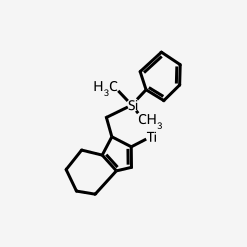 C[Si](C)(CC1[C]([Ti])=CC2=C1CCCC2)c1ccccc1